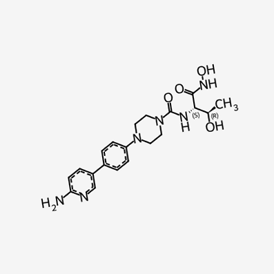 C[C@@H](O)[C@H](NC(=O)N1CCN(c2ccc(-c3ccc(N)nc3)cc2)CC1)C(=O)NO